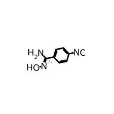 [C-]#[N+]c1ccc(/C(N)=N/O)cc1